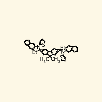 CCC1(N(c2ccc3ccccc3c2)c2cccs2)c2cc3c(cc21)C(C)(C)c1cc2c(cc1-3)C2(CC)N(c1ccc2ccccc2c1)c1cccs1